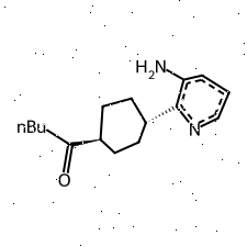 CCCCC(=O)[C@H]1CC[C@H](c2ncccc2N)CC1